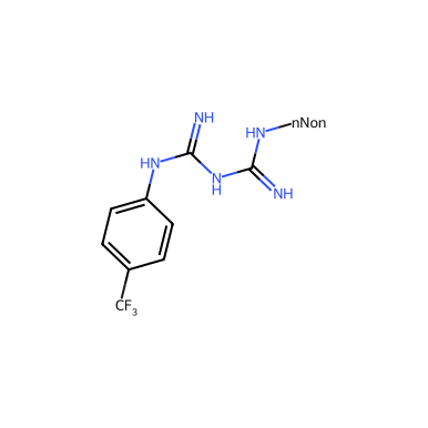 CCCCCCCCCNC(=N)NC(=N)Nc1ccc(C(F)(F)F)cc1